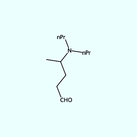 CCCN(CCC)C(C)CCC=O